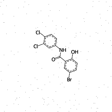 O=C(Nc1ccc(Cl)c(Cl)c1)c1cc(Br)ccc1O